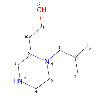 C[C](C)CN1CCNCC1CCO